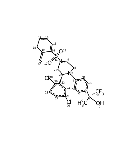 C[C@](O)(c1ccc(N2CCN(S(=O)(=O)C3=CC=CCC3=S)C[C@@H]2c2cc(Cl)ccc2Cl)cc1)C(F)(F)F